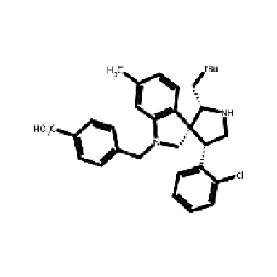 Cc1ccc2c(c1)N(Cc1ccc(C(=O)O)cc1)C[C@@]21[C@H](CC(C)(C)C)NC[C@@H]1c1ccccc1Cl